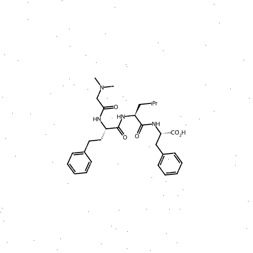 CC(C)C[C@H](NC(=O)[C@H](CCc1ccccc1)NC(=O)CN(C)C)C(=O)N[C@@H](Cc1ccccc1)C(=O)O